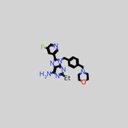 CCc1nc(N)c2nc(-c3cncc(F)c3)n(Cc3ccc(CN4CCOCC4)cc3)c2n1